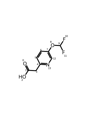 O=C(O)Cc1ccc(OC(F)F)cn1